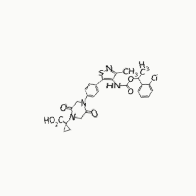 Cc1nsc(-c2ccc(N3CC(=O)N(C4(C(=O)O)CC4)CC3=O)cc2)c1NC(=O)OC(C)c1ccccc1Cl